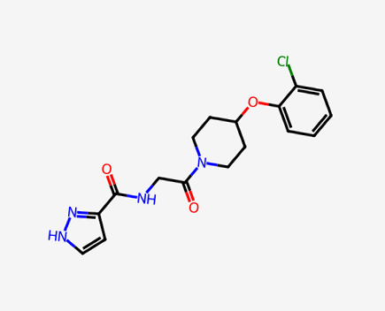 O=C(NCC(=O)N1CCC(Oc2ccccc2Cl)CC1)c1cc[nH]n1